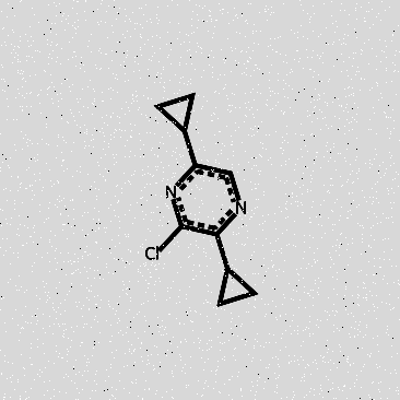 Clc1nc(C2CC2)cnc1C1CC1